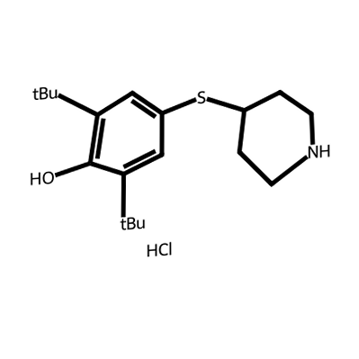 CC(C)(C)c1cc(SC2CCNCC2)cc(C(C)(C)C)c1O.Cl